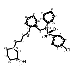 O=S(=O)(c1ccc(Cl)cc1)N(Cc1ccccc1OCCCN1CCCC(O)C1)c1ccccc1